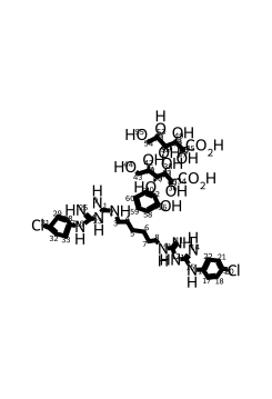 N=C(NCCCCCCNC(=N)NC(=N)Nc1ccc(Cl)cc1)NC(=N)Nc1ccc(Cl)cc1.O=C(O)[C@H](O)[C@@H](O)[C@H](O)[C@H](O)CO.O=C(O)[C@H](O)[C@@H](O)[C@H](O)[C@H](O)CO.Oc1ccccc1